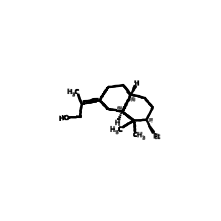 CC[C@@H]1CC[C@H]2CCC(=C(C)CO)C[C@@H]2C1(C)C